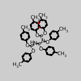 Cc1ccc(ON(P(N=[PH](Oc2ccc(C)cc2)Oc2ccc(C)cc2)Oc2ccc(C)cc2)P(Oc2ccc(C)cc2)Oc2ccc(C)cc2)cc1